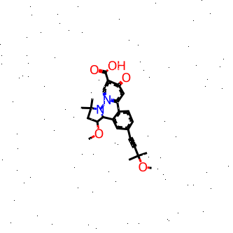 COC1CC(C)(C)N2C1c1cc(C#CC(C)(C)OC)ccc1-c1cc(=O)c(C(=O)O)cn12